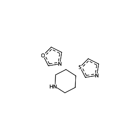 C1CCNCC1.c1cocn1.c1cscn1